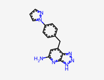 Nc1cc(Cc2ccc(-n3cccn3)cc2)c2nn[nH]c2n1